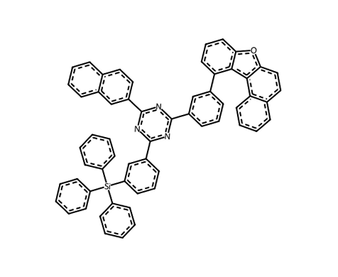 c1ccc([Si](c2ccccc2)(c2ccccc2)c2cccc(-c3nc(-c4cccc(-c5cccc6oc7ccc8ccccc8c7c56)c4)nc(-c4ccc5ccccc5c4)n3)c2)cc1